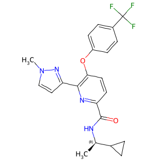 C[C@@H](NC(=O)c1ccc(Oc2ccc(C(F)(F)F)cc2)c(-c2ccn(C)n2)n1)C1CC1